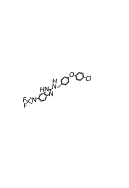 FC1(F)CN(c2ccc3nc(NCc4ccc(Oc5ccc(Cl)cc5)cc4)[nH]c3c2)C1